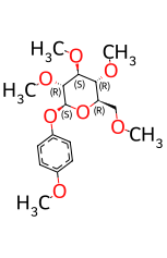 COC[C@H]1O[C@@H](Oc2ccc(OC)cc2)[C@H](OC)[C@@H](OC)[C@@H]1OC